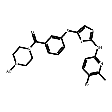 CC(=O)N1CCN(C(=O)c2cccc(Sc3cnc(Nc4ccc(Br)c(C)n4)s3)c2)CC1